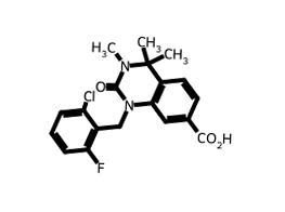 CN1C(=O)N(Cc2c(F)cccc2Cl)c2cc(C(=O)O)ccc2C1(C)C